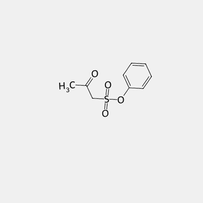 CC(=O)CS(=O)(=O)Oc1ccccc1